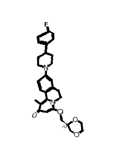 Cc1c2n(c(OC[C@@H]3COCCO3)cc1=O)CCc1cc(N3CCC(c4ccc(F)cc4)CC3)ccc1-2